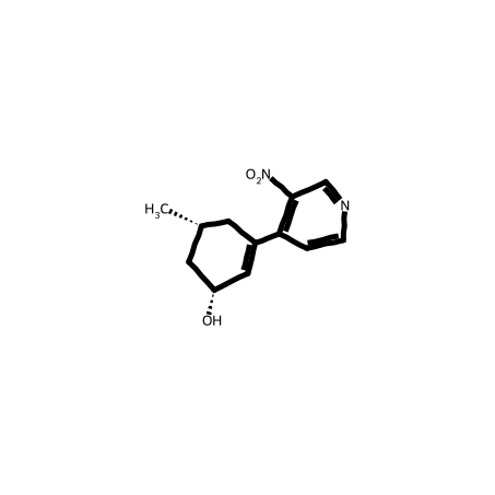 C[C@@H]1CC(c2ccncc2[N+](=O)[O-])=C[C@H](O)C1